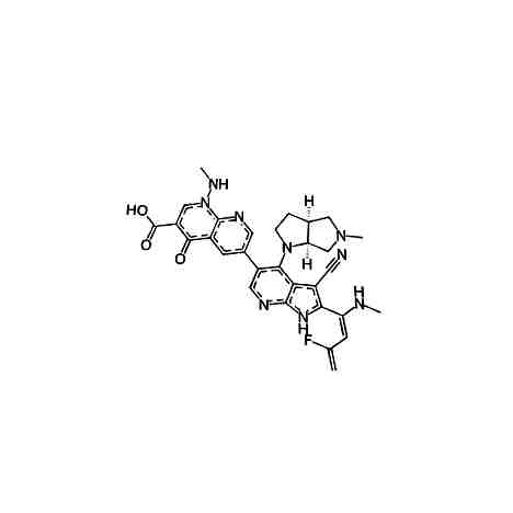 C=C(F)/C=C(/NC)c1[nH]c2ncc(-c3cnc4c(c3)c(=O)c(C(=O)O)cn4NC)c(N3CC[C@H]4CN(C)C[C@H]43)c2c1C#N